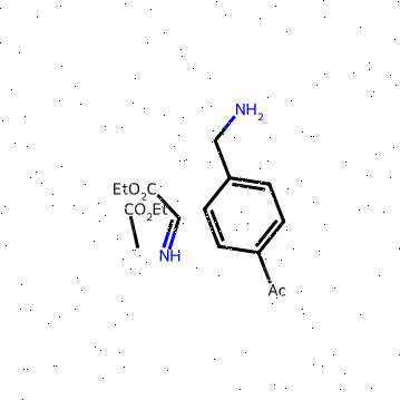 CC(=O)c1ccc(CN)cc1.CCOC(=O)C=N.CCOC(C)=O